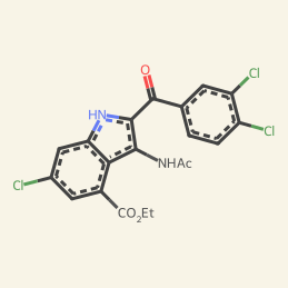 CCOC(=O)c1cc(Cl)cc2[nH]c(C(=O)c3ccc(Cl)c(Cl)c3)c(NC(C)=O)c12